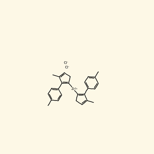 CC1=CC[C]([Zr+2][C]2=C(c3ccc(C)cc3)C(C)=CC2)=C1c1ccc(C)cc1.[Cl-].[Cl-]